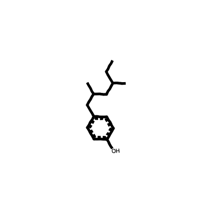 CCC(C)CC(C)Cc1ccc(O)cc1